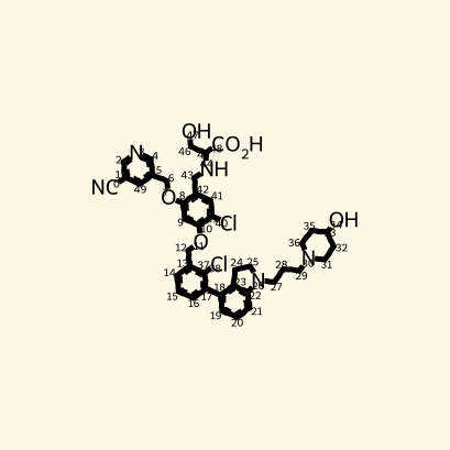 N#Cc1cncc(COc2cc(OCc3cccc(-c4cccc5c4CCN5CCCN4CCC(O)CC4)c3Cl)c(Cl)cc2CNC(CO)C(=O)O)c1